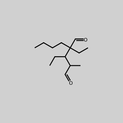 CCCCC(C=O)(CC)C(CC)C(C)C=O